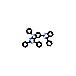 c1ccc(-c2nc(-c3ccccc3)c3c4cc(-c5nc(-c6ccccc6)c6ccccc6n5)ccc4n(-c4ccccc4)c3n2)cc1